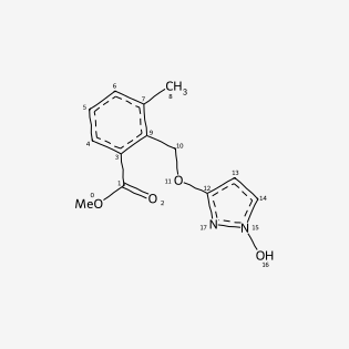 COC(=O)c1cccc(C)c1COc1ccn(O)n1